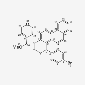 Brc1ccc(C2CCCc3ccc4c(ccc5ccccc54)c32)cc1.COCC1=CCOC=C1